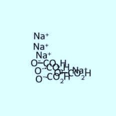 O=C([O-])O.O=C([O-])O.O=C([O-])O.O=C([O-])O.[Na+].[Na+].[Na+].[Na+]